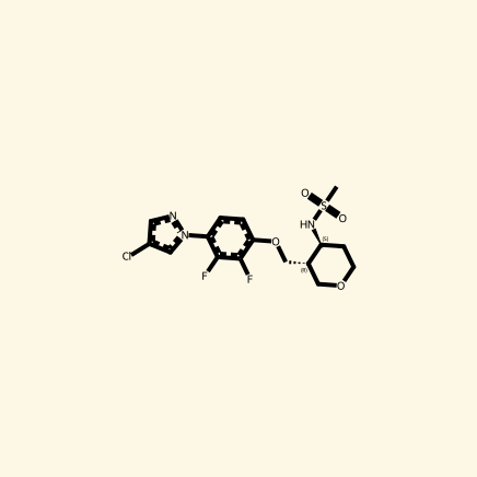 CS(=O)(=O)N[C@H]1CCOC[C@@H]1COc1ccc(-n2cc(Cl)cn2)c(F)c1F